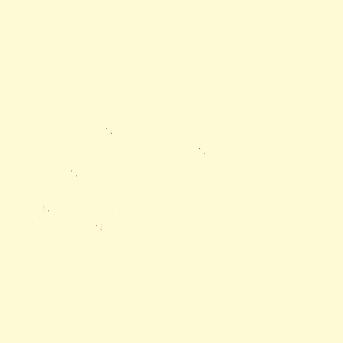 Nc1nc2[nH]cc(CNCC(O)CO)c2c(=O)[nH]1